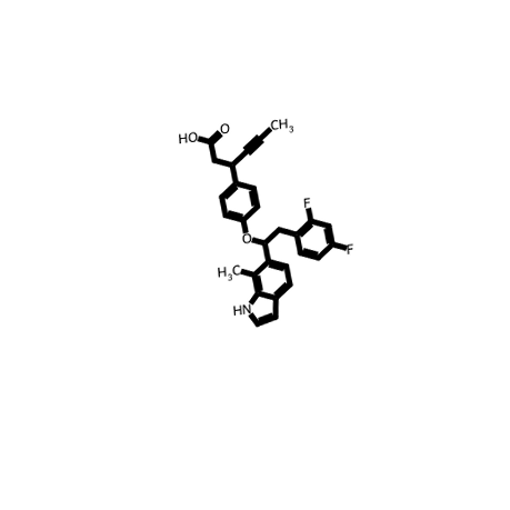 CC#CC(CC(=O)O)c1ccc(OC(Cc2ccc(F)cc2F)c2ccc3cc[nH]c3c2C)cc1